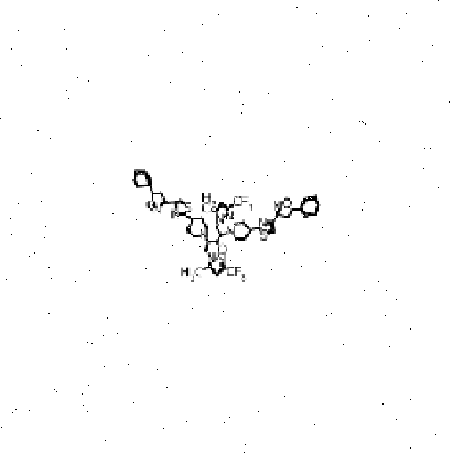 Cc1cc(C(F)(F)F)nn1CC(C(=O)C(Cn1nc(C(F)(F)F)cc1C)N1CCC(c2nc(C3=NOC(c4ccccc4)C3)cs2)CC1)N1CCC(c2nc(C3=NOC(c4ccccc4)C3)cs2)CC1